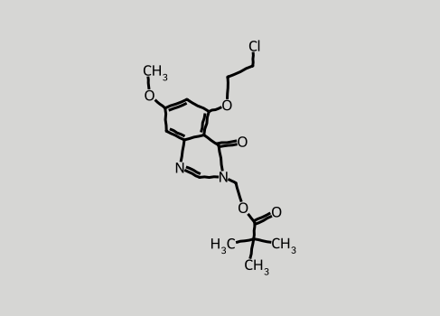 COc1cc(OCCCl)c2c(=O)n(COC(=O)C(C)(C)C)cnc2c1